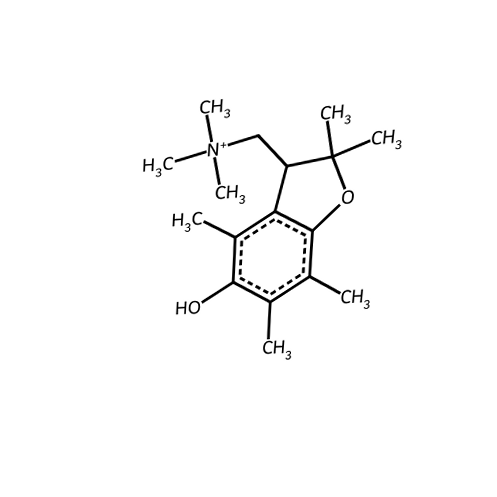 Cc1c(C)c2c(c(C)c1O)C(C[N+](C)(C)C)C(C)(C)O2